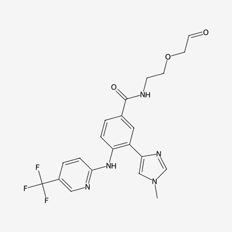 Cn1cnc(-c2cc(C(=O)NCCOCC=O)ccc2Nc2ccc(C(F)(F)F)cn2)c1